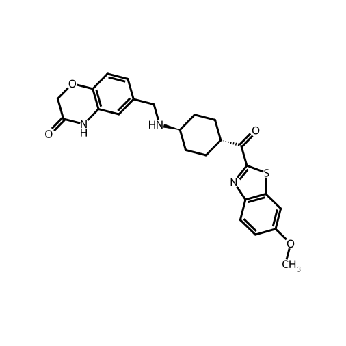 COc1ccc2nc(C(=O)[C@H]3CC[C@H](NCc4ccc5c(c4)NC(=O)CO5)CC3)sc2c1